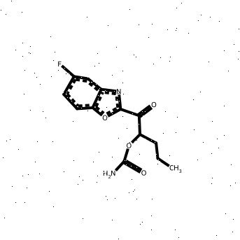 CCCC(OC(N)=O)C(=O)c1nc2cc(F)ccc2o1